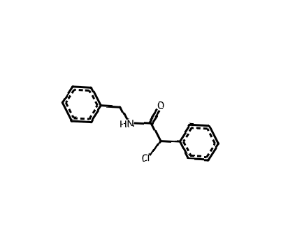 O=C(NCc1ccccc1)C(Cl)c1ccccc1